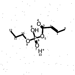 CC=CC(=O)OP(=O)(O)OCCC.[H+]